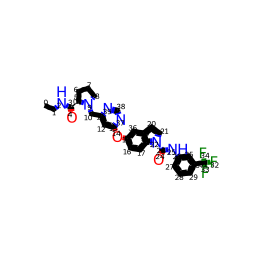 CCNC(=O)[C@@H]1CCCN1Cc1cc(Oc2ccc3c(ccn3C(=O)Nc3cccc(C(F)(F)F)c3)c2)ncn1